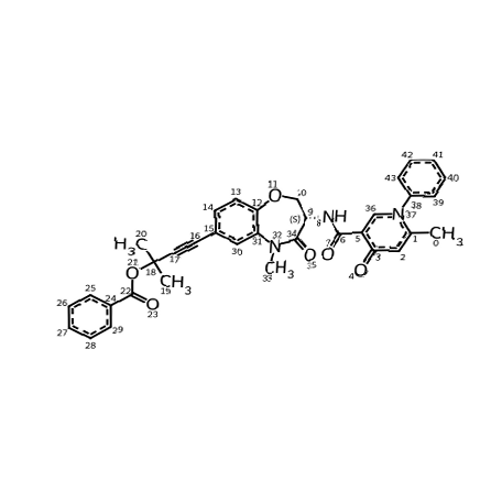 Cc1cc(=O)c(C(=O)N[C@H]2COc3ccc(C#CC(C)(C)OC(=O)c4ccccc4)cc3N(C)C2=O)cn1-c1ccccc1